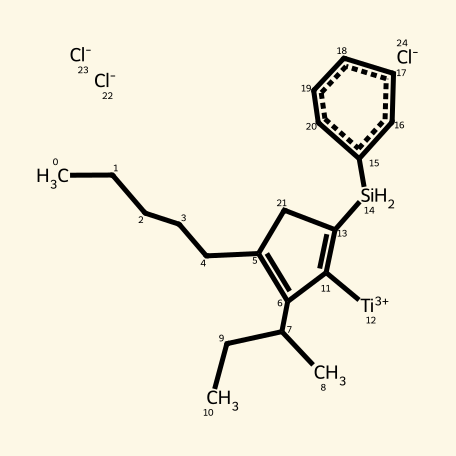 CCCCCC1=C(C(C)CC)[C]([Ti+3])=C([SiH2]c2ccccc2)C1.[Cl-].[Cl-].[Cl-]